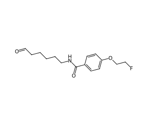 O=CCCCCCNC(=O)c1ccc(OCCF)cc1